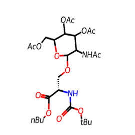 CCCCOC(=O)[C@H](COC1OC(COC(C)=O)C(OC(C)=O)C(OC(C)=O)C1NC(C)=O)NC(=O)OC(C)(C)C